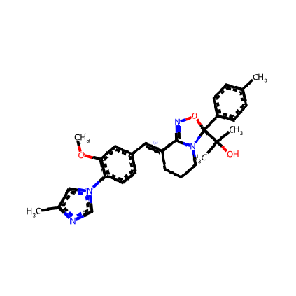 COc1cc(/C=C2\CCCN3C2=NOC3(c2ccc(C)cc2)C(C)(C)O)ccc1-n1cnc(C)c1